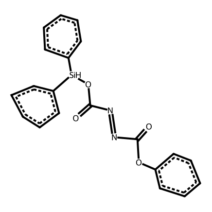 O=C(N=NC(=O)O[SiH](c1ccccc1)c1ccccc1)Oc1ccccc1